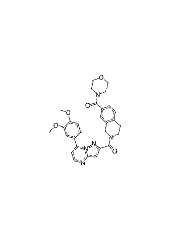 COc1ccc(-c2ccnc3cc(C(=O)N4CCc5ccc(C(=O)N6CCOCC6)cc5C4)nn23)cc1OC